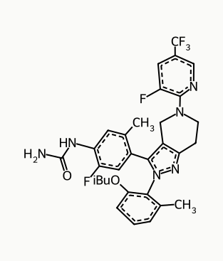 Cc1cc(NC(N)=O)c(F)cc1-c1c2c(nn1-c1c(C)cccc1OCC(C)C)CCN(c1ncc(C(F)(F)F)cc1F)C2